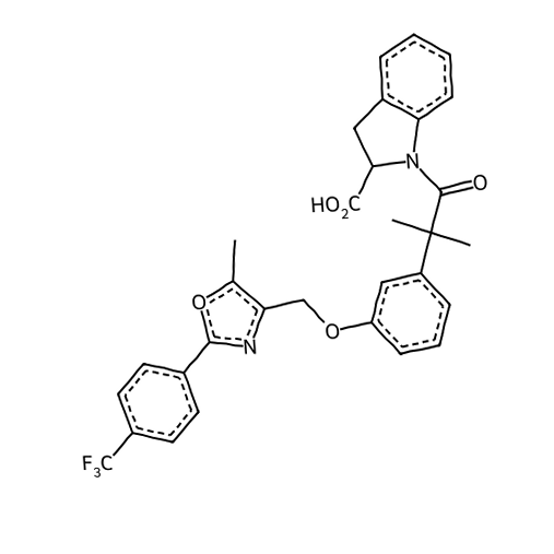 Cc1oc(-c2ccc(C(F)(F)F)cc2)nc1COc1cccc(C(C)(C)C(=O)N2c3ccccc3CC2C(=O)O)c1